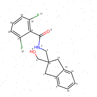 O=C(NCC1(CO)Cc2ccccc2C1)c1c(F)cccc1F